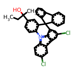 CCC(C)(O)c1ccc2c(c1)C1(c3ccccc3-c3ccccc31)c1cc(Cl)cc3c4cc(Cl)ccc4n-2c13